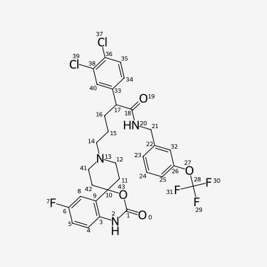 O=C1Nc2ccc(F)cc2C2(CCN(CCCC(C(=O)NCc3cccc(OC(F)(F)F)c3)c3ccc(Cl)c(Cl)c3)CC2)O1